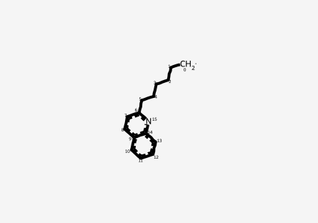 [CH2]CCCCCc1ccc2ccccc2n1